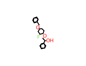 OC(CO[C@H]1CC[C@@H](OCc2ccccc2)C[C@@H]1F)c1ccccc1